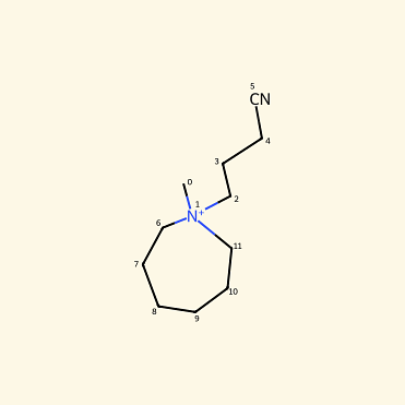 C[N+]1(CCCC#N)CCCCCC1